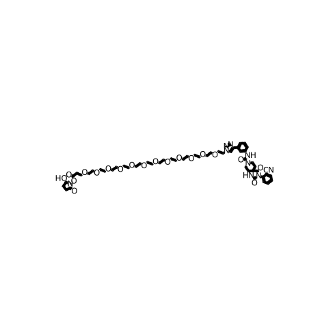 N#Cc1ccccc1N1C(=O)NC2(CCN(C(=O)Nc3cccc(-c4cn(CCOCCOCCOCCOCCOCCOCCOCCOCCOCCOCCOCCOCCC(=O)ON5C(=O)CCC5O)nn4)c3)CC2)C1=O